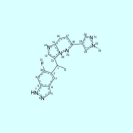 CC(c1cc2cn[nH]c2cc1F)c1cnc2ccc(-c3cnn(C)c3)nn12